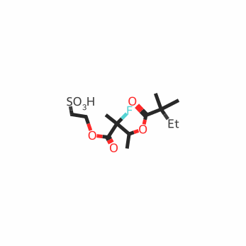 CCC(C)(C)C(=O)OC(C)C(C)(F)C(=O)OCCS(=O)(=O)O